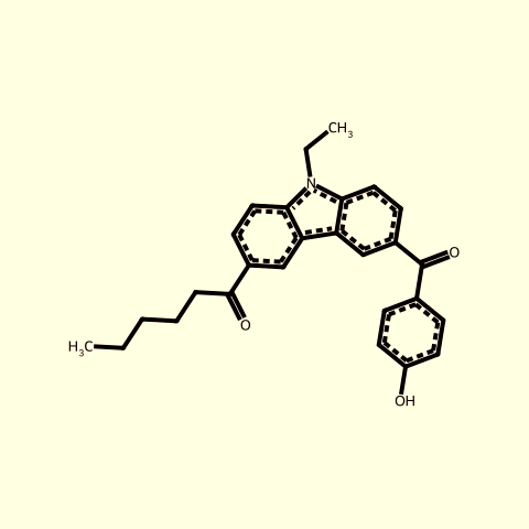 CCCCCC(=O)c1ccc2c(c1)c1cc(C(=O)c3ccc(O)cc3)ccc1n2CC